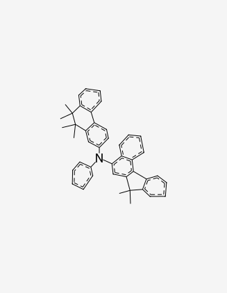 CC1(C)c2ccccc2-c2c1cc(N(c1ccccc1)c1ccc3c(c1)C(C)(C)C(C)(C)c1ccccc1-3)c1ccccc21